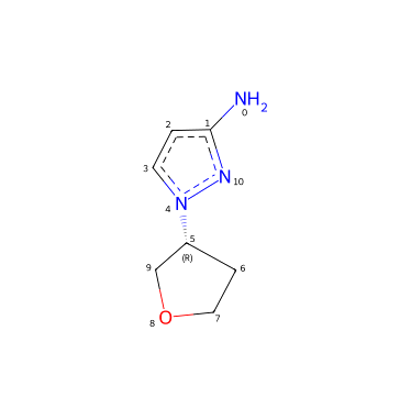 Nc1ccn([C@@H]2CCOC2)n1